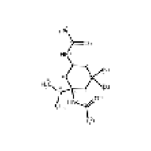 CCCC(=O)NC1CC(C(C)CC)(C(C)CC)C[C](NC(=O)CCC)([Ti]([CH3])[CH3])C1